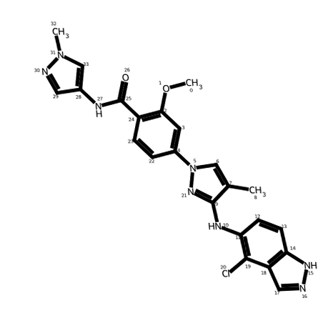 COc1cc(-n2cc(C)c(Nc3ccc4[nH]ncc4c3Cl)n2)ccc1C(=O)Nc1cnn(C)c1